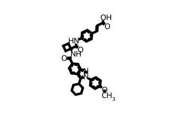 COc1ccc(-n2nc3cc(C(=O)NC4(C(=O)Nc5ccc(/C=C/C(=O)O)cc5)CCC4)ccc3c2C2CCCCC2)cc1